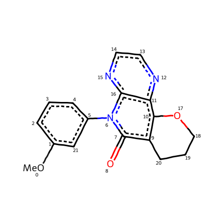 COc1cccc(-n2c(=O)c3c(c4nccnc42)OCCC3)c1